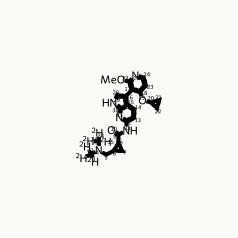 [2H]C([2H])([2H])N(CC1CC1C(=O)Nc1ccc2c(-c3c(OC4CC4)ccnc3OC)c[nH]c2n1)C([2H])([2H])[2H]